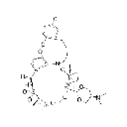 C[C@@H]1[C@@H](C)CCC[C@@H]([C@H]2OC[C@H](N(C)C)CO2)[C@@H]2CC[C@H]2CN2CCCCc3cc(Cl)ccc3COc3ccc(cc32)C(=O)NS1(=O)=O